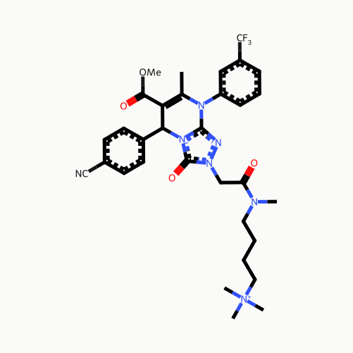 COC(=O)C1=C(C)N(c2cccc(C(F)(F)F)c2)c2nn(CC(=O)N(C)CCCC[N+](C)(C)C)c(=O)n2C1c1ccc(C#N)cc1